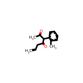 C=CCC(=O)C(C(C)=O)c1ccccc1C